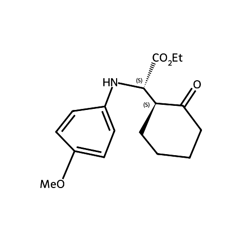 CCOC(=O)[C@@H](Nc1ccc(OC)cc1)[C@@H]1CCCCC1=O